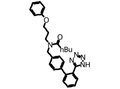 CCCCC(=O)N(CCCOc1ccccc1)Cc1ccc(-c2ccccc2-c2nnn[nH]2)cc1